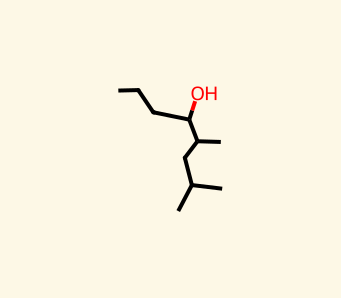 CCCC(O)C(C)CC(C)C